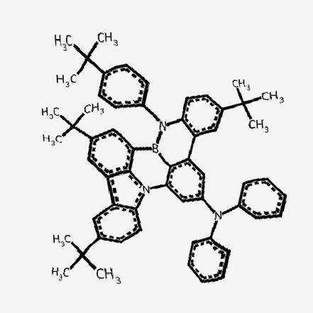 CC(C)(C)c1ccc(N2B3c4c(cc(N(c5ccccc5)c5ccccc5)cc4-n4c5ccc(C(C)(C)C)cc5c5cc(C(C)(C)C)cc3c54)-c3cc(C(C)(C)C)ccc32)cc1